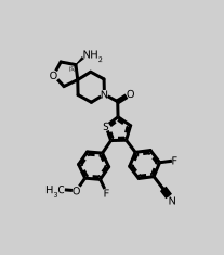 COc1ccc(-c2sc(C(=O)N3CCC4(CC3)COC[C@H]4N)cc2-c2ccc(C#N)c(F)c2)cc1F